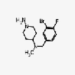 CN(Cc1ccc(F)c(Br)c1)C1CCN(N)CC1